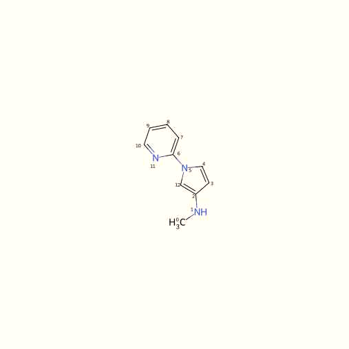 CNc1ccn(-c2ccccn2)c1